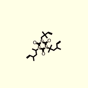 C=CC(C)CC(C)n1c(=O)n(CC(C)(C)C=C)c(=O)n(C(C)(C)CC(C)C=C)c1=O